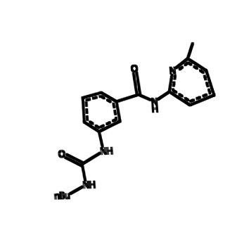 CCCCNC(=O)Nc1cccc(C(=O)Nc2cccc(C)n2)c1